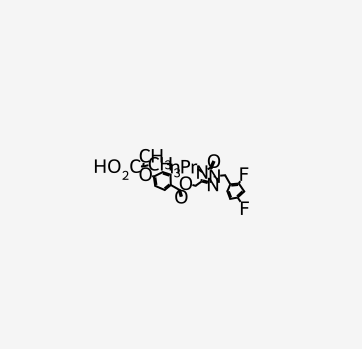 CCCn1c(COC(=O)c2ccc(OC(C)(C)C(=O)O)cc2)nn(Cc2ccc(F)cc2F)c1=O